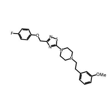 COc1cccc(CCN2CCN(c3nc(COc4ccc(F)cc4)ns3)CC2)c1